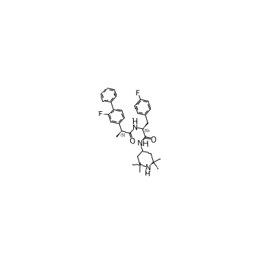 C[C@H](C(=O)N[C@@H](Cc1ccc(F)cc1)C(=O)NC1CC(C)(C)NC(C)(C)C1)c1ccc(-c2ccccc2)c(F)c1